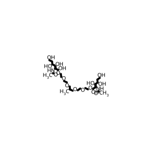 CC(=O)N/C(=C(/O)[C@@H](O)CCO)[C@@H](O)OCCOCCOCC(C)COCCOCCO[C@H](O)/C(NC(C)=O)=C(\O)[C@@H](O)CCO